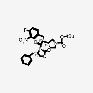 CC(C)(C)OC(=O)N1CC[C@H]([C@H](Cc2ccc(F)c([N+](=O)[O-])c2)C(=O)N2C(=O)OC[C@@H]2Cc2ccccc2)C1